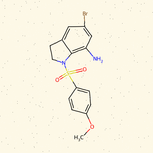 COc1ccc(S(=O)(=O)N2CCc3cc(Br)cc(N)c32)cc1